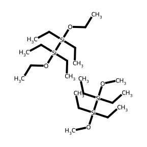 CCO[Si](CC)(CC)[Si](CC)(CC)OCC.CC[Si](CC)(OC)[Si](CC)(CC)OC